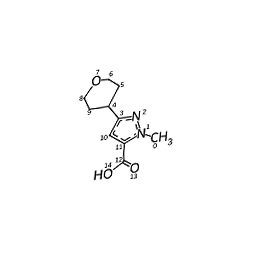 Cn1nc(C2CCOCC2)cc1C(=O)O